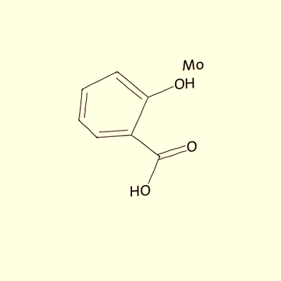 O=C(O)c1ccccc1O.[Mo]